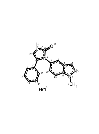 Cl.Cn1ncc2cc(-n3c(-c4cccnc4)c[nH]c3=O)ccc21